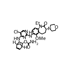 CCN1C(=O)[C@@H](N2CCOCC2)CCc2c1ccc(Nc1ncc(Cl)c(N[C@H]3[C@@H](OC(N)=O)[C@@H]4C=C[C@H]3C4)n1)c2OC